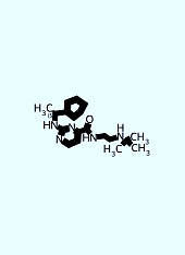 C[C@H](Nc1nccc(C(=O)NCCNC(C)(C)C)n1)c1ccccc1